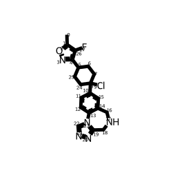 Cc1onc(C2CCC(Cl)(c3ccc4c(c3)CNCc3nncn3-4)CC2)c1F